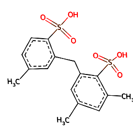 Cc1ccc(S(=O)(=O)O)c(Cc2cc(C)cc(C)c2S(=O)(=O)O)c1